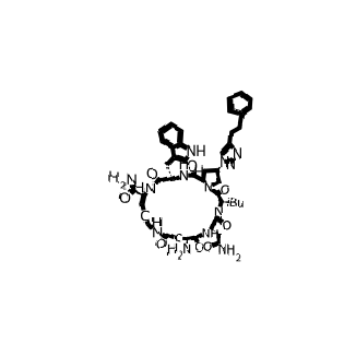 CCC(C)[C@@H]1NC(=O)[C@H](CC(N)=O)NC(=O)[C@@H](N)CC(=O)NCCC[C@@H](C(N)=O)NC(=O)[C@H](Cc2c[nH]c3ccccc23)NC(=O)[C@@H]2C[C@H](n3cc(CCc4ccccc4)nn3)CN2C1=O